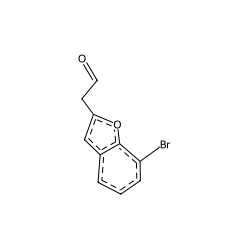 O=CCc1cc2cccc(Br)c2o1